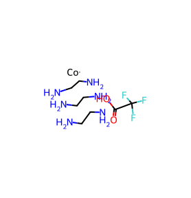 NCCN.NCCN.NCCN.O=C(O)C(F)(F)F.[Co]